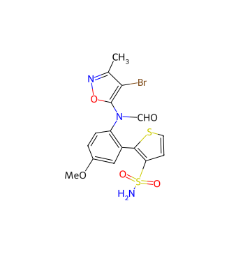 COc1ccc(N(C=O)c2onc(C)c2Br)c(-c2sccc2S(N)(=O)=O)c1